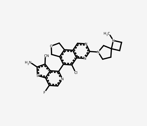 CN1CCC12CCN(c1ncc3c4c(c(-c5ncc(F)c6sc(N)c(C#N)c56)c(Cl)c3n1)COC4)C2